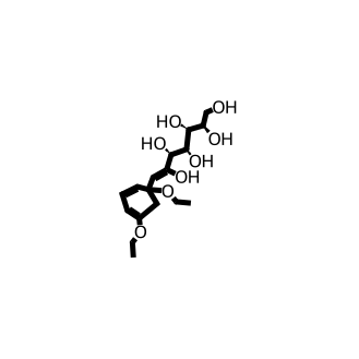 CCOC1=CC=CC(C=C(O)[C@H](O)[C@@H](O)[C@H](O)[C@H](O)CO)(OCC)C1